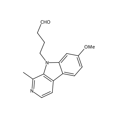 COc1ccc2c3ccnc(C)c3n(CCCC=O)c2c1